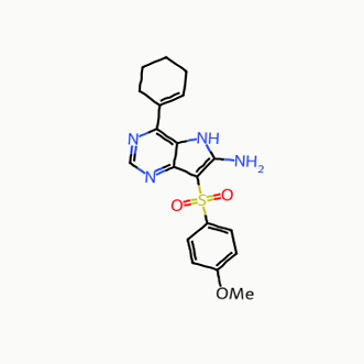 COc1ccc(S(=O)(=O)c2c(N)[nH]c3c(C4=CCCCC4)ncnc23)cc1